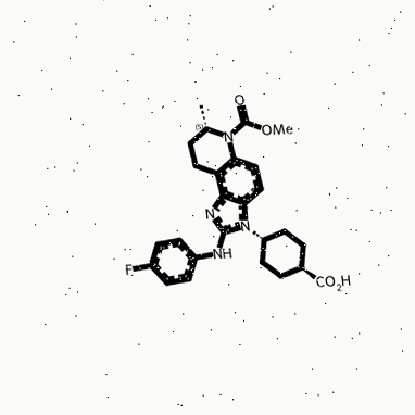 COC(=O)N1c2ccc3c(nc(Nc4ccc(F)cc4)n3[C@H]3CC[C@H](C(=O)O)CC3)c2CC[C@@H]1C